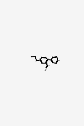 CCCc1ccc(-c2ccccc2)c([C]=O)c1